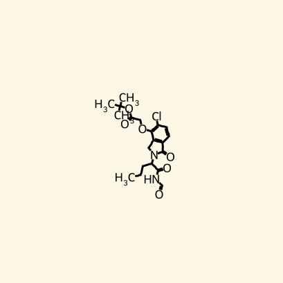 CCCC(C(=O)NC=O)N1Cc2c(ccc(Cl)c2OCC(=O)OC(C)(C)C)C1=O